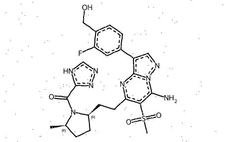 C[C@@H]1CC[C@H](CCc2nc3c(-c4ccc(CO)c(F)c4)cnn3c(N)c2S(C)(=O)=O)N1C(=O)c1nnc[nH]1